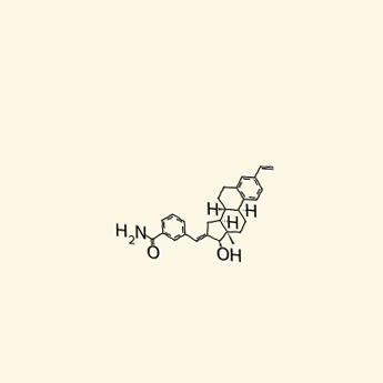 C=Cc1ccc2c(c1)CC[C@@H]1[C@@H]2CC[C@]2(C)[C@@H](O)/C(=C/c3cccc(C(N)=O)c3)C[C@@H]12